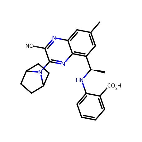 Cc1cc([C@@H](C)Nc2ccccc2C(=O)O)c2nc(N3C4CCC3CC4)c(C#N)nc2c1